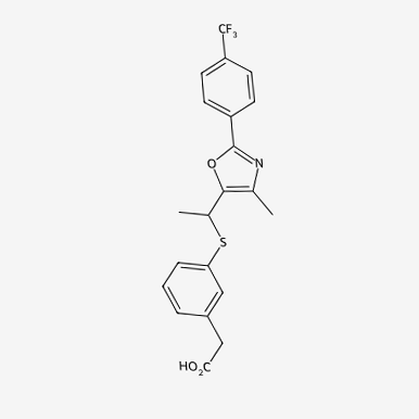 Cc1nc(-c2ccc(C(F)(F)F)cc2)oc1C(C)Sc1cccc(CC(=O)O)c1